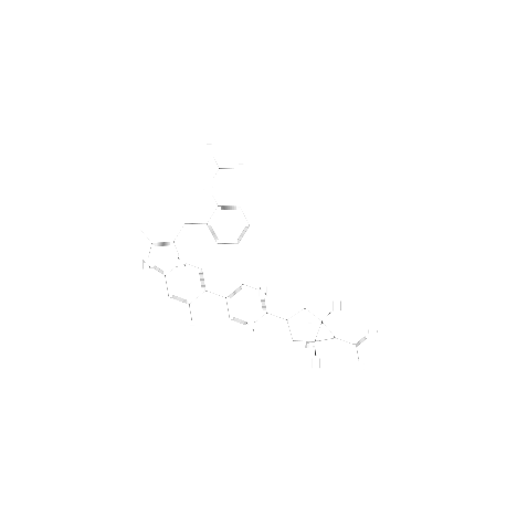 Cc1nc2cc(F)c(-c3cnc(C4C[C@@H]5C(C(=O)O)[C@@H]5C4)nc3)cn2c1Cc1ccccc1OC(F)F